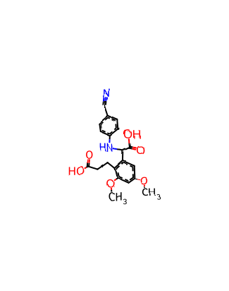 COc1cc(OC)c(CCC(=O)O)c(C(Nc2ccc(C#N)cc2)C(=O)O)c1